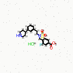 COC(=O)c1ccc(CN(CCc2cccc(C3CCNCC3)c2)[SH](=O)=O)c(F)c1.Cl